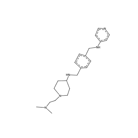 CN(C)CCN1CCC(NCc2ccc(CNc3ccncc3)cc2)CC1